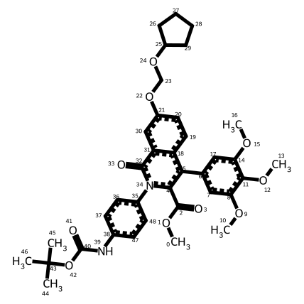 COC(=O)c1c(-c2cc(OC)c(OC)c(OC)c2)c2ccc(OCOC3CCCC3)cc2c(=O)n1-c1ccc(NC(=O)OC(C)(C)C)cc1